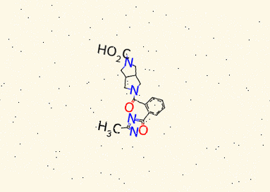 Cc1noc(-c2ccccc2C(=O)N2CC3CN(C(=O)O)CC3C2)n1